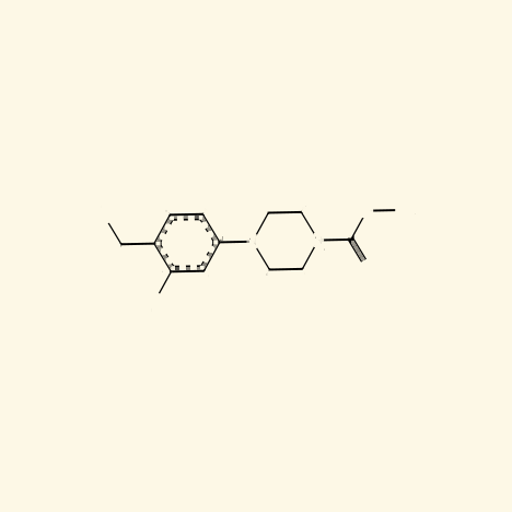 CC(C)(C)OC(=O)N1CCN(c2ccc(CF)c(F)c2)CC1